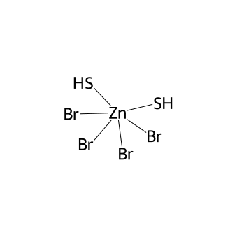 [SH][Zn]([SH])([Br])([Br])([Br])[Br]